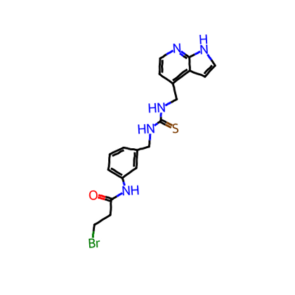 O=C(CCBr)Nc1cccc(CNC(=S)NCc2ccnc3[nH]ccc23)c1